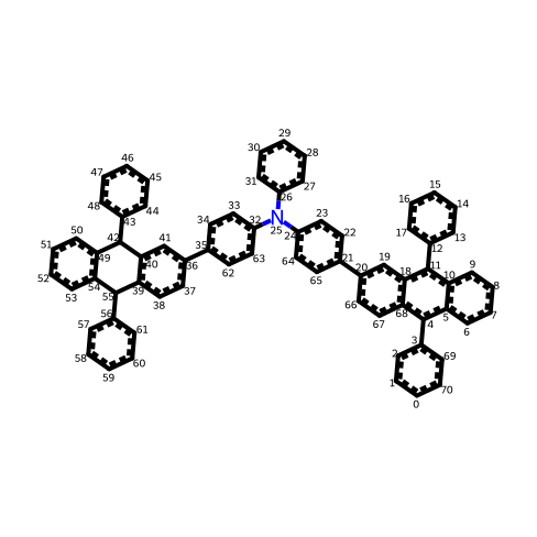 c1ccc(-c2c3ccccc3c(-c3ccccc3)c3cc(-c4ccc(N(c5ccccc5)c5ccc(-c6ccc7c(c6)C(c6ccccc6)c6ccccc6C7c6ccccc6)cc5)cc4)ccc23)cc1